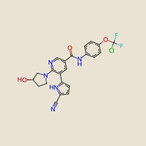 N#Cc1ccc(-c2cc(C(=O)Nc3ccc(OC(F)(F)Cl)cc3)cnc2N2CC[C@@H](O)C2)[nH]1